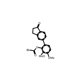 CCC(C)C(=O)Oc1c(-c2ccc3c(c2)CCC3=O)ccc(OC)c1OC